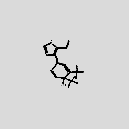 CCc1[nH]cnc1C1C=CC(O)(C(C)(C)C)C(C(C)(C)C)=C1